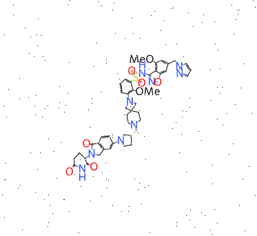 COc1c(N2CC3(CCN(C[C@@H]4CCN(c5ccc6c(c5)CN(C5CCC(=O)NC5=O)C6=O)C4)CC3)C2)cccc1S(=O)(=O)Nc1noc2cc(Cn3cccn3)cc(OC)c12